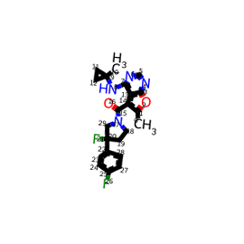 Cc1oc2ncnc(NC3(C)CC3)c2c1C(=O)N1CCC(F)(c2ccc(F)cc2)C1